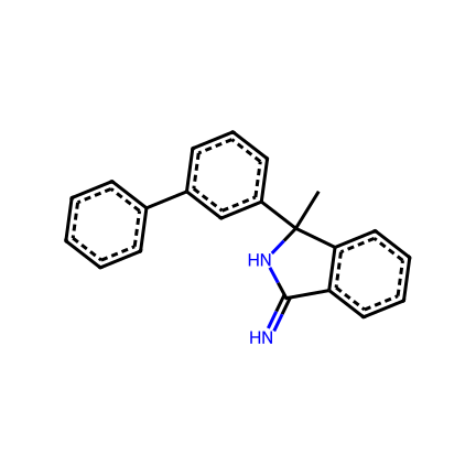 CC1(c2cccc(-c3ccccc3)c2)NC(=N)c2ccccc21